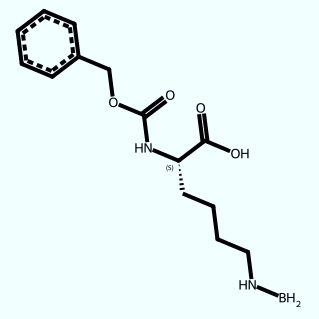 BNCCCC[C@H](NC(=O)OCc1ccccc1)C(=O)O